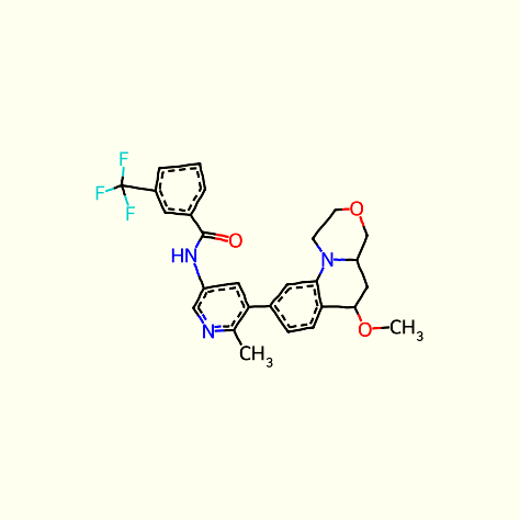 COC1CC2COCCN2c2cc(-c3cc(NC(=O)c4cccc(C(F)(F)F)c4)cnc3C)ccc21